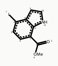 COC(=O)c1ccc(I)c2cc[nH]c12